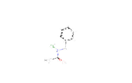 CC(=O)N(Cl)Cc1ccccc1